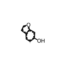 Oc1[c]cc2ccoc2c1